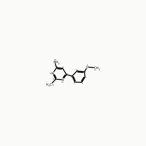 COc1cccc(-c2cc(N)nc(C)n2)c1